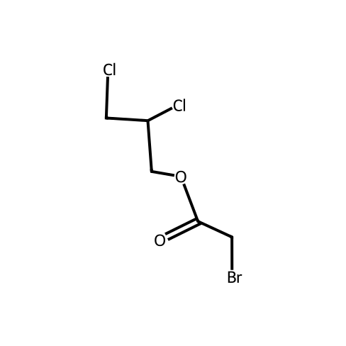 O=C(CBr)OCC(Cl)CCl